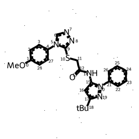 COc1ccc(-n2cnnc2SCC(=O)Nc2cc(C(C)(C)C)nn2-c2ccccc2)cc1